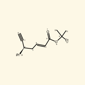 C#C[C@@H](C/C=C/C(=O)OC(C)(C)CC)C(C)C